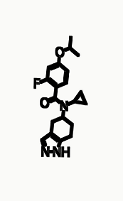 CC(C)Oc1ccc(C(=O)N(C2CC2)C2CCc3[nH]ncc3C2)c(F)c1